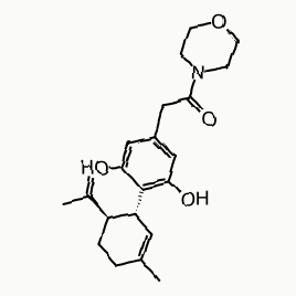 C=C(C)[C@@H]1CCC(C)=C[C@H]1c1c(O)cc(CC(=O)N2CCOCC2)cc1O